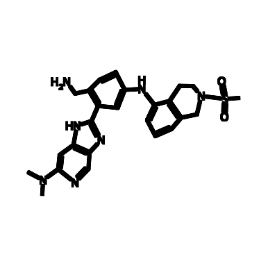 CN(C)c1cc2[nH]c(-c3cc(Nc4cccc5c4CCN(S(C)(=O)=O)C5)ccc3CN)nc2cn1